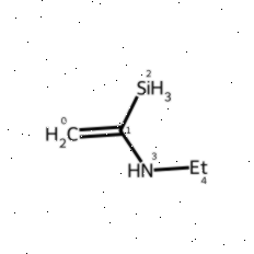 C=C([SiH3])NCC